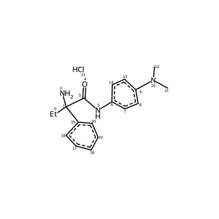 CCC(N)(C(=O)Nc1ccc(N(C)C)cc1)c1ccccc1.Cl